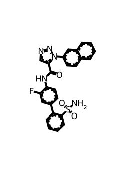 NS(=O)(=O)c1ccccc1-c1ccc(NC(=O)c2cnnn2-c2ccc3ccccc3c2)c(F)c1